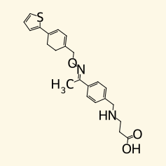 C/C(=N\OCC1=CC=C(c2cccs2)CC1)c1ccc(CNCCC(=O)O)cc1